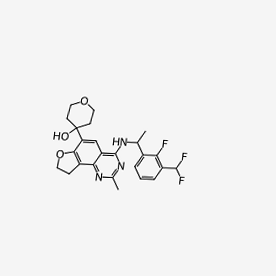 Cc1nc(NC(C)c2cccc(C(F)F)c2F)c2cc(C3(O)CCOCC3)c3c(c2n1)CCO3